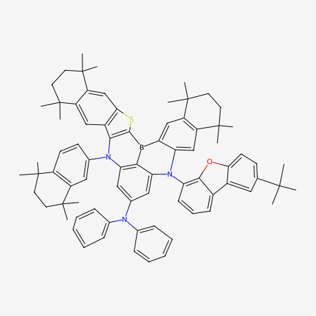 CC(C)(C)c1ccc2oc3c(N4c5cc6c(cc5B5c7sc8cc9c(cc8c7N(c7ccc8c(c7)C(C)(C)CCC8(C)C)c7cc(N(c8ccccc8)c8ccccc8)cc4c75)C(C)(C)CCC9(C)C)C(C)(C)CCC6(C)C)cccc3c2c1